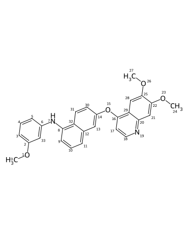 COc1cccc(Nc2cccc3cc(Oc4ccnc5cc(OC)c(OC)cc45)ccc23)c1